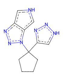 c1[nH]nnc1C1(n2nnc3c[nH]cc32)CCCC1